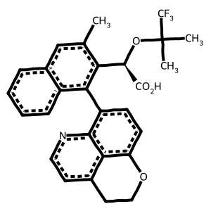 Cc1cc2ccccc2c(-c2ccc3c4c(ccnc24)CCO3)c1[C@@H](OC(C)(C)C(F)(F)F)C(=O)O